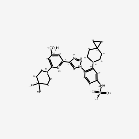 CCS(=O)(=O)Nc1ccc(-n2cc(-c3cc(C(=O)O)cc(N4CCC(F)(F)CC4)n3)nn2)c(N2CCC3(CC2)CC3)c1